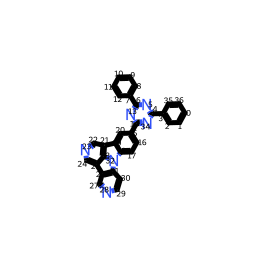 c1ccc(-c2nc(-c3ccccc3)nc(-c3ccc4c(c3)c3cncc5c6cnccc6n4c53)n2)cc1